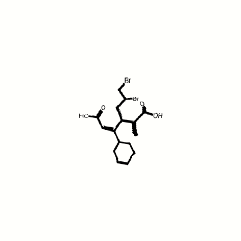 C=C(C(=O)O)C(CC(Br)CBr)C(=CC(=O)O)C1CCCCC1